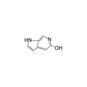 Oc1cc2cc[nH]c2cn1